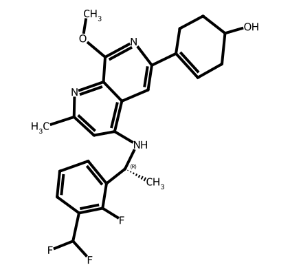 COc1nc(C2=CCC(O)CC2)cc2c(N[C@H](C)c3cccc(C(F)F)c3F)cc(C)nc12